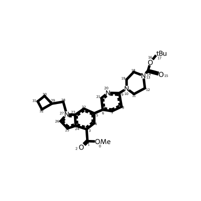 COC(=O)c1cc(-c2ccc(N3CCN(C(=O)OC(C)(C)C)CC3)nc2)cc2c1ccn2CC1CCC1